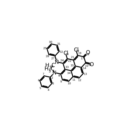 CN(c1ccccc1)c1ccc2ccc3c(=O)c(=O)c(Cl)c4c(Cl)c(N(C)c5ccccc5)c1c2c43